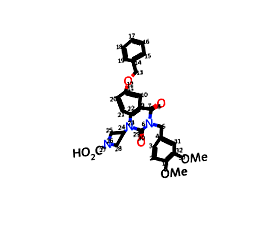 COc1ccc(Cn2c(=O)c3cc(OCc4ccccc4)ccc3n(C3CN(C(=O)O)C3)c2=O)cc1OC